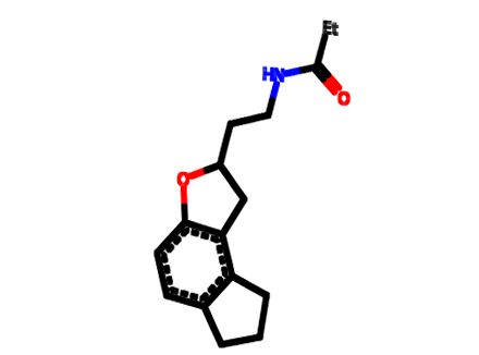 CCC(=O)NCCC1Cc2c(ccc3c2CCC3)O1